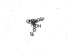 CC(C)(C)[Si](C)(C)CCCOc1ccc(-c2nc(C3=C(O)CC(=O)C=C3)nc(-c3ccc(OCCC[Si](C)(C)C(C)(C)C)cc3O)n2)c(O)c1